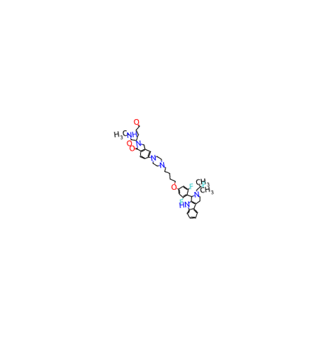 CNC(=O)C(CCC=O)N1Cc2cc(N3CCN(CCCCCOc4cc(F)c(C5c6[nH]c7ccccc7c6CCN5CC(C)(C)F)c(F)c4)CC3)ccc2C1=O